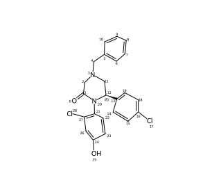 O=C1CN(Cc2ccccc2)C[C@@H](c2ccc(Cl)cc2)N1c1ccc(O)cc1Cl